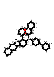 c1ccc(-c2ccc(N(c3ccc4ccccc4c3)c3ccc4c(oc5cc6ccccc6cc54)c3-c3ccccc3)cc2)cc1